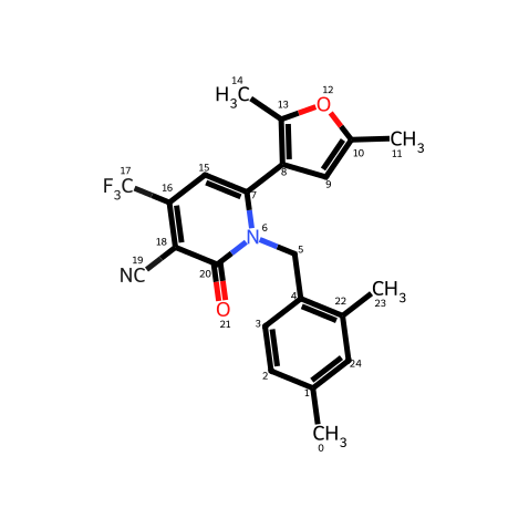 Cc1ccc(Cn2c(-c3cc(C)oc3C)cc(C(F)(F)F)c(C#N)c2=O)c(C)c1